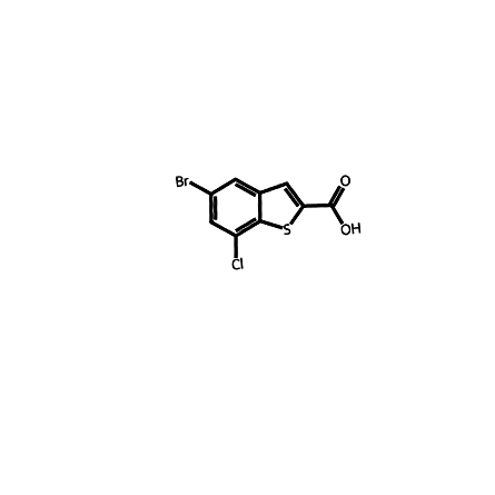 O=C(O)c1cc2cc(Br)cc(Cl)c2s1